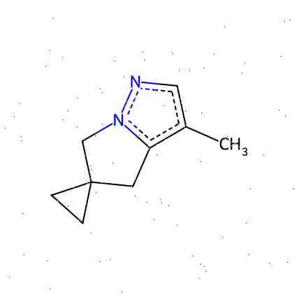 Cc1cnn2c1CC1(CC1)C2